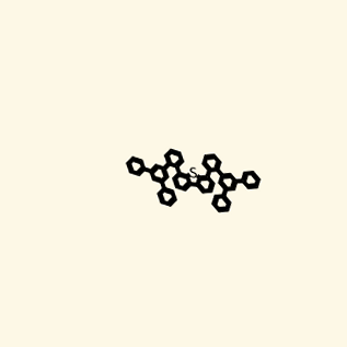 c1ccc(-c2cc(-c3ccccc3)cc(-c3ccccc3-c3cccc4c3sc3c(-c5ccccc5-c5cc(-c6ccccc6)cc(-c6ccccc6)c5)cccc34)c2)cc1